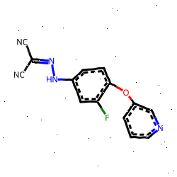 N#CC(C#N)=NNc1ccc(Oc2cccnc2)c(F)c1